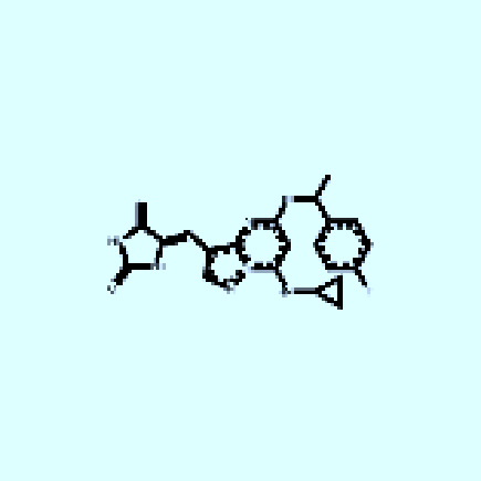 CC(Nc1cc(NC2CC2)n2ncc(/C=C3\NC(=O)NC3=O)c2n1)c1ccc(F)cc1